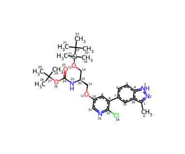 Cc1n[nH]c2ccc(-c3cc(OC[C@H](CO[Si](C)(C)C(C)(C)C)NC(=O)OC(C)(C)C)cnc3Cl)cc12